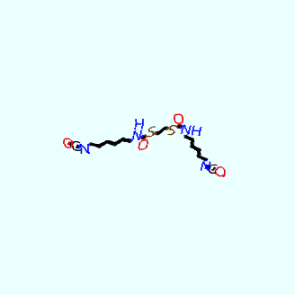 O=C=NCCCCCCNC(=O)SCCSC(=O)NCCCCCCN=C=O